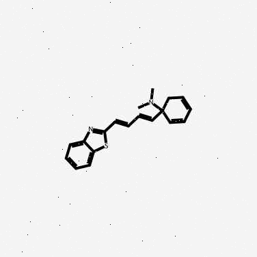 CN(C)C1(C=CC=Cc2nc3ccccc3s2)C=CC=CC1